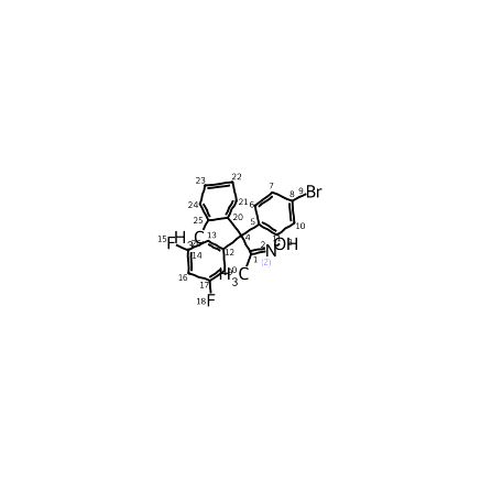 C/C(=N/O)C(c1ccc(Br)cc1)(c1cc(F)cc(F)c1)c1ccccc1C